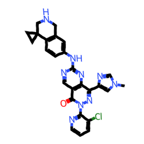 Cn1cnc(-c2nn(-c3ncccc3Cl)c(=O)c3cnc(Nc4ccc5c(c4)CNCC54CC4)nc23)c1